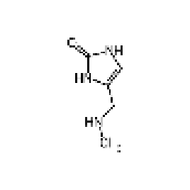 CNCc1c[nH]c(=O)[nH]1